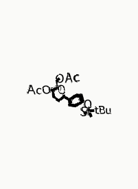 CC(=O)OC[C@H]1OC(c2ccc(O[Si](C)(C)C(C)(C)C)cc2)CC[C@@H]1OC(C)=O